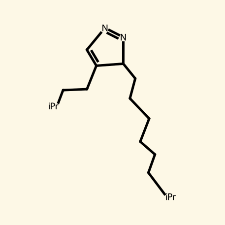 CC(C)CCCCCCC1N=NC=C1CCC(C)C